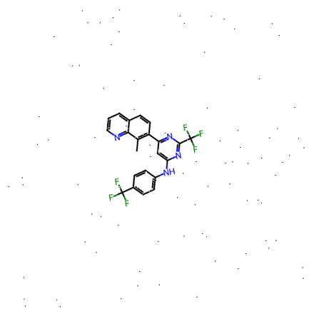 Cc1c(-c2cc(Nc3ccc(C(F)(F)F)cc3)nc(C(F)(F)F)n2)ccc2cccnc12